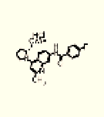 COC[C@H]1CCCN1c1cc(C)nc2cc(NC(=O)c3ccc(F)cc3)ccc12.Cl